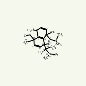 CC1C=CC(C)(CN(C)C)C2=C1C(C)(CCl)C=CC2(C)C(C)(C)N(C)C(C)C